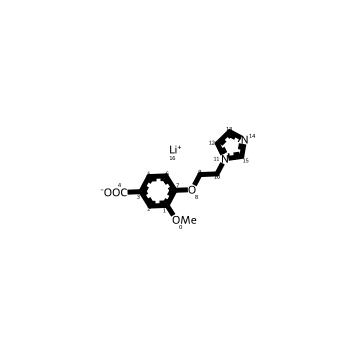 COc1cc(C(=O)[O-])ccc1OCCn1ccnc1.[Li+]